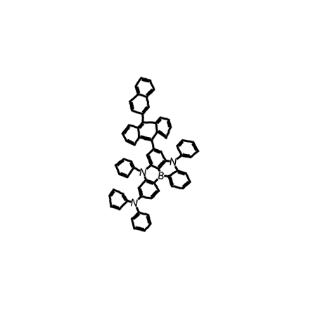 c1ccc(N(c2ccccc2)c2ccc3c(c2)N(c2ccccc2)c2cc(-c4c5ccccc5c(-c5ccc6ccccc6c5)c5ccccc45)cc4c2B3c2ccccc2N4c2ccccc2)cc1